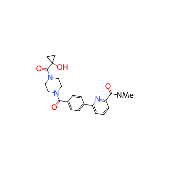 CNC(=O)c1cccc(-c2ccc(C(=O)N3CCN(C(=O)C4(O)CC4)CC3)cc2)n1